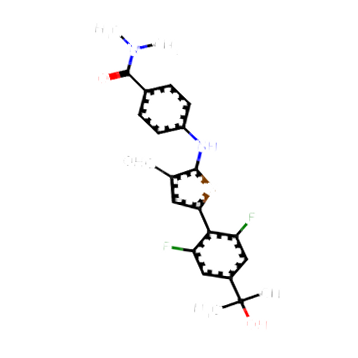 CN(C)C(=O)c1ccc(Nc2sc(-c3c(F)cc(C(C)(C)O)cc3F)cc2C=O)cc1